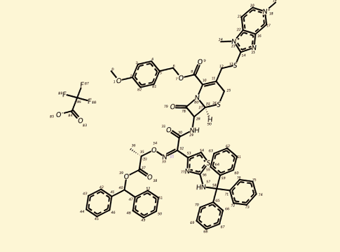 COc1ccc(COC(=O)C2=C(CSc3nc4c[n+](C)ccc4n3C)CS[C@H]3C(NC(=O)/C(=N\O[C@@H](C)C(=O)OC(c4ccccc4)c4ccccc4)c4csc(NC(c5ccccc5)(c5ccccc5)c5ccccc5)n4)C(=O)N23)cc1.O=C([O-])C(F)(F)F